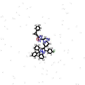 Fc1ccc(-c2nn(C(c3ccccc3)(c3ccccc3)C3C=CC=CC3)cc2-c2ccc3ncc(-c4noc(C5CC5c5ccccc5)n4)n3c2)cc1